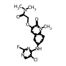 CN(C)C(=O)COc1cc2cc(Nc3nc(F)ncc3Cl)ccc2n(C)c1=O